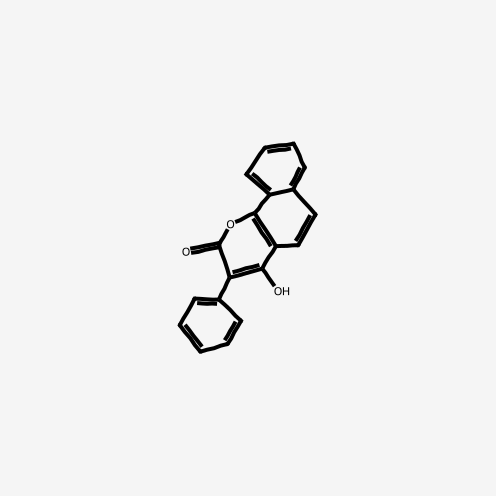 O=c1oc2c(ccc3ccccc32)c(O)c1-c1ccccc1